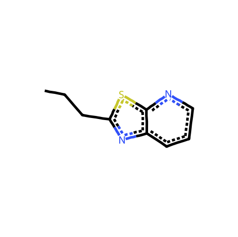 CCCc1nc2cccnc2s1